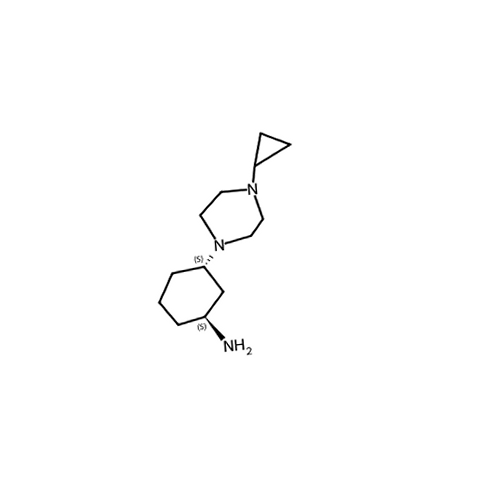 N[C@H]1CCC[C@H](N2CCN(C3CC3)CC2)C1